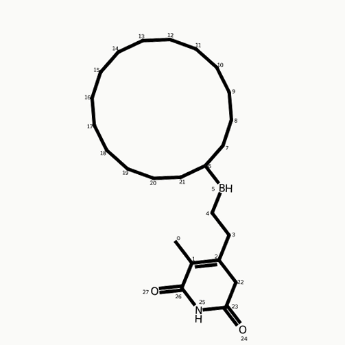 CC1=C(CCBC2CCCCCCCCCCCCCCC2)CC(=O)NC1=O